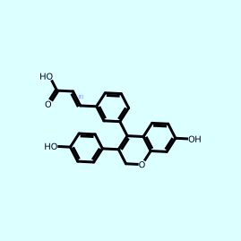 O=C(O)/C=C/c1cccc(C2=C(c3ccc(O)cc3)COc3cc(O)ccc32)c1